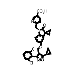 O=C(O)c1ccc(CN2C(=O)C3(CC3)c3cc(OCc4c(-c5c(Cl)cccc5Cl)noc4C4CC4)ccc32)nc1